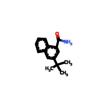 CC(C)(C)c1cc(C(N)=O)c2ccccc2c1